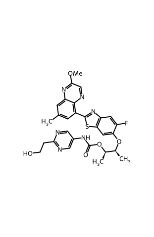 COc1cnc2c(-c3nc4cc(F)c(O[C@@H](C)[C@@H](C)OC(=O)Nc5cnc(CCO)nc5)cc4s3)cc(C)cc2n1